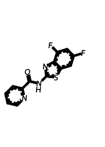 O=C(Nc1nc2c(F)cc(F)cc2s1)c1ccccn1